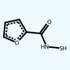 O=C(NS)c1ccco1